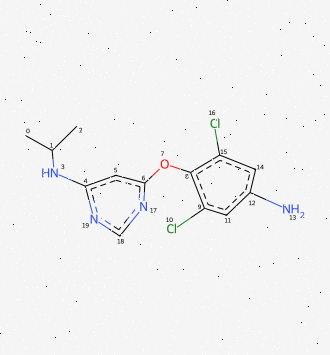 CC(C)Nc1cc(Oc2c(Cl)cc(N)cc2Cl)ncn1